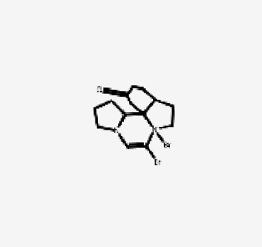 O=C1CCC2CC[N+]3(Br)C(Br)=CN4CCCC4C23C1